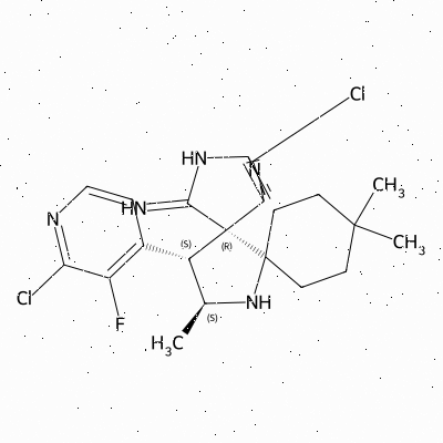 C[C@@H]1NC2(CCC(C)(C)CC2)[C@@]2(C(=N)Nc3nc(Cl)ccc32)[C@H]1c1ccnc(Cl)c1F